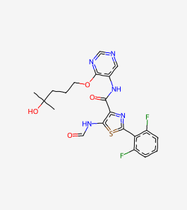 CC(C)(O)CCCOc1ncncc1NC(=O)c1nc(-c2c(F)cccc2F)sc1NC=O